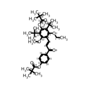 CCOc1c(C=CC(=O)c2ccc(OC(=O)C(C)(C)C)cc2)c(OC)c(C(C)(C)C)c(OC(=O)C(C)(C)C)c1C(C)(C)C